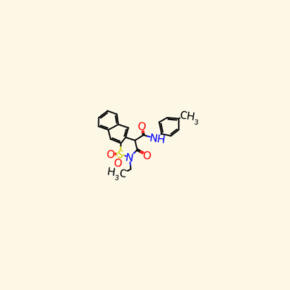 CCN1C(=O)C(C(=O)Nc2ccc(C)cc2)c2cc3ccccc3cc2S1(=O)=O